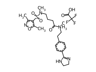 Cc1noc(C)c1S(=O)(=O)N(C)CCCC(=O)N(C)CCc1ccc(C2=NCCN2)cc1.O=C(O)C(F)(F)F